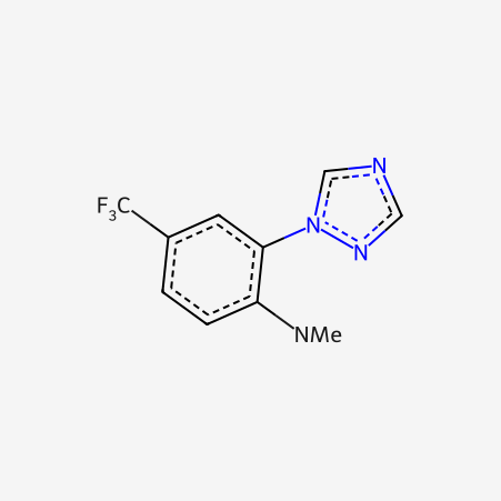 CNc1ccc(C(F)(F)F)cc1-n1cncn1